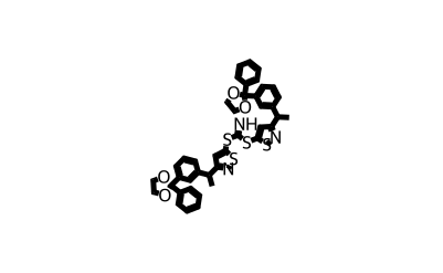 CC(c1cccc(C2(c3ccccc3)OCCO2)c1)c1cc(SC(=N)Sc2cc(C(C)c3cccc(C4(c5ccccc5)OCCO4)c3)ns2)sn1